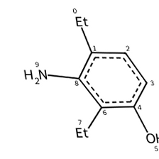 CCc1ccc(O)c(CC)c1N